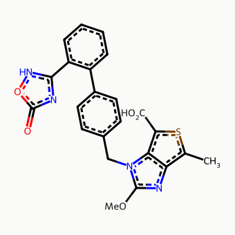 COc1nc2c(C)sc(C(=O)O)c2n1Cc1ccc(-c2ccccc2-c2nc(=O)o[nH]2)cc1